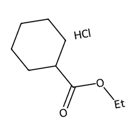 CCOC(=O)C1CCCCC1.Cl